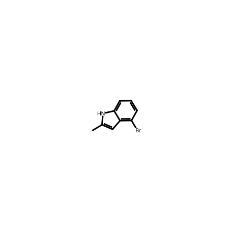 Cc1cc2c(Br)cccc2[nH]1